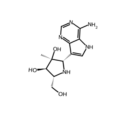 C[C@@]1(O)[C@H](O)[C@@H](CO)N[C@H]1c1c[nH]c2c(N)ncnc12